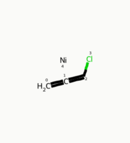 C=C=CCl.[Ni]